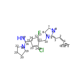 CCC/C=C\C=C1/N(C)CCN1Cc1c(F)cc(C(=N)N2CCCC2)cc1Cl